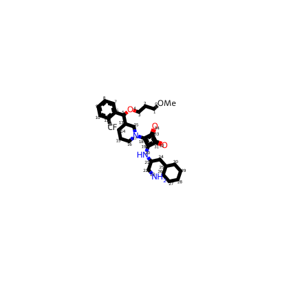 COCCCOC(c1ccccc1C(F)(F)F)C1CCCN(c2c(NC(CN)CC3CCCCC3)c(=O)c2=O)C1